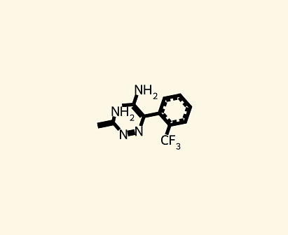 C=C(N)/N=N\C(=C(/C)N)c1ccccc1C(F)(F)F